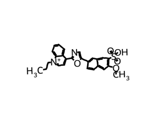 CCC[n+]1ccc(-c2ncc(-c3ccc4cc(OC)c(S(=O)(=O)O)cc4c3)o2)c2ccccc21